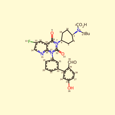 CC(C)(C)N(C(=O)O)[C@H]1CC[C@@H](n2c(=O)c3cc(F)cnc3n(-c3cccc(-c4cc(O)ccc4C=O)c3)c2=O)CC1